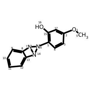 COc1ccc(-n2n3c4ccccc4n23)c(O)c1